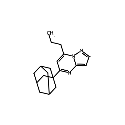 CCCc1cc(C23CC4CC(CC(C4)C2)C3)nc2c[c]nn12